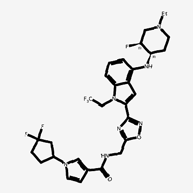 CCN1CC[C@@H](Nc2cccc3c2cc(-c2noc(CNC(=O)c4ccn(C5CCC(F)(F)C5)c4)n2)n3CC(F)(F)F)[C@@H](F)C1